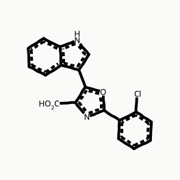 O=C(O)c1nc(-c2ccccc2Cl)oc1-c1c[nH]c2ccccc12